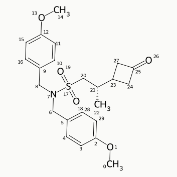 COc1ccc(CN(Cc2ccc(OC)cc2)S(=O)(=O)C[C@@H](C)C2CC(=O)C2)cc1